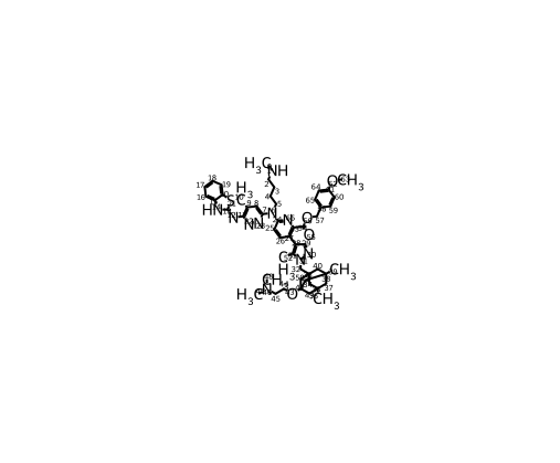 CNCCCCN(c1cc(C)c(/N=c2/[nH]c3ccccc3s2)nn1)c1ccc(-c2cnn(CC34CC5(C)CC(C)(C3)CC(OCCN(C)C)(C5)C4)c2C)c(C(=O)OCc2ccc(OC)cc2)n1